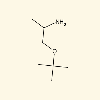 CC(N)COC(C)(C)C